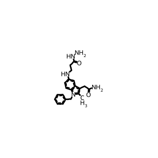 Cc1c(CC(N)=O)c2cc(NCCC(=O)NN)ccc2n1Cc1ccccc1